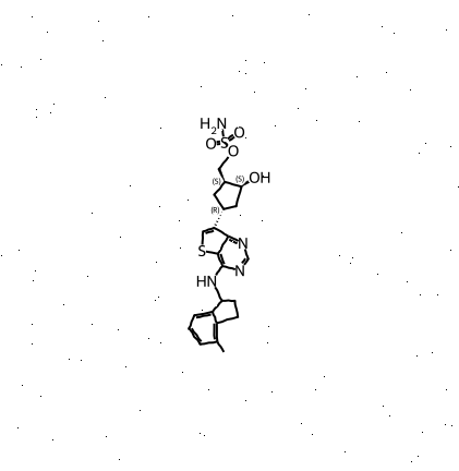 Cc1cccc2c1CCC2Nc1ncnc2c([C@@H]3C[C@@H](COS(N)(=O)=O)[C@@H](O)C3)csc12